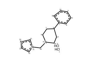 Cl.Cl.c1ccc(C2CCN(Cn3ccnc3)CC2)cc1